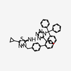 N=c1sc(C2CC2)nn1Cc1ccc(-c2ccccc2-c2nnnn2C(c2ccccc2)(c2ccccc2)c2ccccc2)cc1